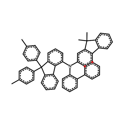 Cc1ccc(C2(c3ccc(C)cc3)c3ccccc3-c3c(N(c4ccc5c(c4)C(C)(C)c4ccccc4-5)c4ccccc4-c4ccccc4)cccc32)cc1